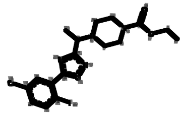 CCOC(=O)N1CCN(C(C)c2noc(-c3cc(Cl)ccc3F)n2)CC1